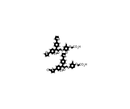 CCOC(CSc1ccc(OCC(=O)O)c(C)c1)=C(c1ccc(-c2ccc(Cl)s2)cc1)c1ccc(-c2ccc(Cl)s2)cc1.CCOC(CSc1ccc(OCC(=O)O)c(C)c1)=C(c1ccc(-c2ccco2)cc1)c1ccc(-c2ccco2)cc1